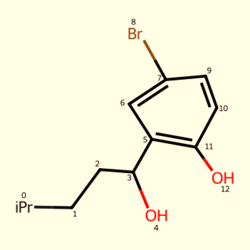 CC(C)CCC(O)c1cc(Br)ccc1O